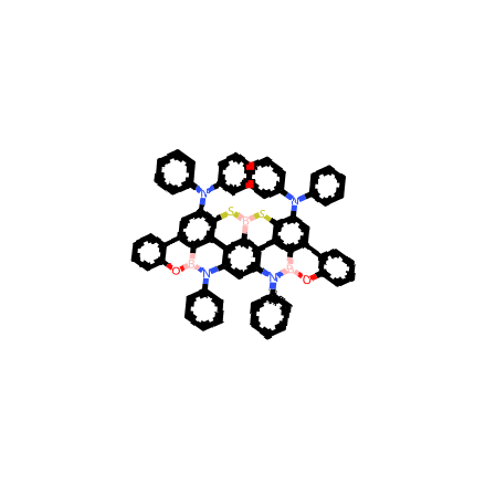 c1ccc(N2B3Oc4ccccc4-c4cc(N(c5ccccc5)c5ccccc5)c5c(c43)-c3c2cc2c4c3B(S5)Sc3c(N(c5ccccc5)c5ccccc5)cc5c(c3-4)B(Oc3ccccc3-5)N2c2ccccc2)cc1